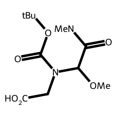 CNC(=O)C(OC)N(CC(=O)O)C(=O)OC(C)(C)C